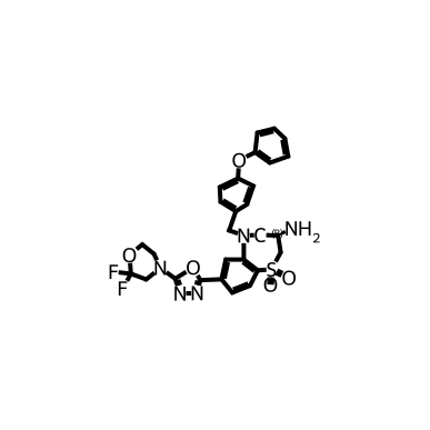 N[C@@H]1CN(Cc2ccc(Oc3ccccc3)cc2)c2cc(-c3nnc(N4CCOC(F)(F)C4)o3)ccc2S(=O)(=O)C1